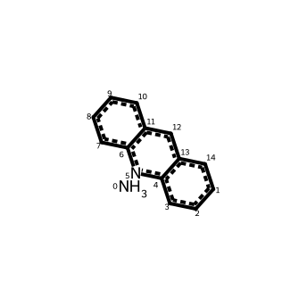 N.c1ccc2nc3ccccc3cc2c1